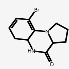 O=C1NC2CC=CC(Br)=C2N2CCCC12